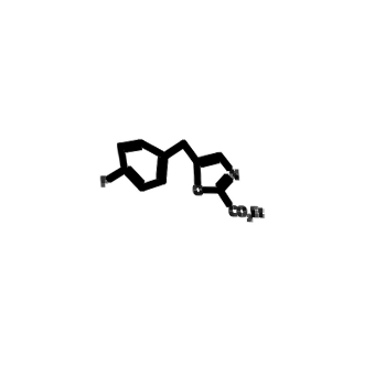 CCOC(=O)c1ncc(Cc2ccc(F)cc2)o1